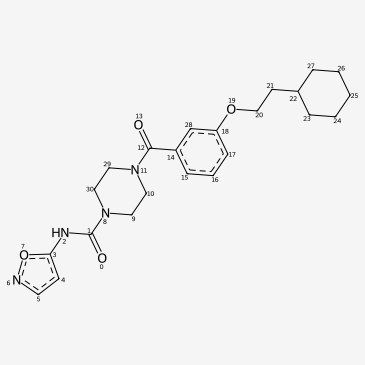 O=C(Nc1ccno1)N1CCN(C(=O)c2cccc(OCCC3CCCCC3)c2)CC1